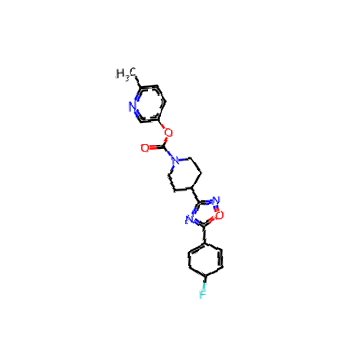 Cc1ccc(OC(=O)N2CCC(c3noc(C4=CCC(F)C=C4)n3)CC2)cn1